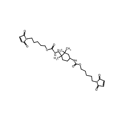 CC1(C)CC(NC(=O)OCCCCCN2C(=O)C=CC2=O)CCC1(C)CNC(=O)OCCCCCN1C(=O)C=CC1=O